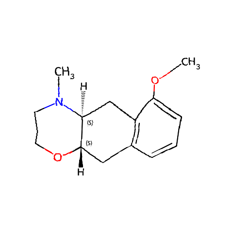 COc1cccc2c1C[C@H]1[C@H](C2)OCCN1C